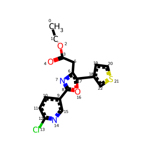 CCOC(=O)Cc1nc(-c2ccc(Cl)nc2)oc1-c1ccsc1